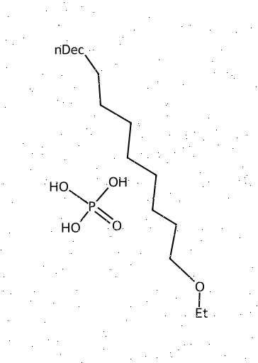 CCCCCCCCCCCCCCCCCCOCC.O=P(O)(O)O